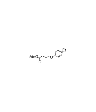 CCc1ccc(OCCCC(=O)OC)cc1